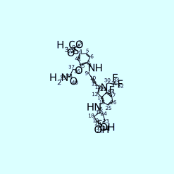 CS(=O)(=O)c1ccc(NCC#Cc2cc3c(NC4CCS(O)(O)CC4)cccc3n2CC(F)(F)F)c(OCC(N)=O)c1